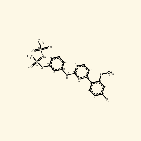 COc1cc(F)ccc1-c1ncnc(Nc2cccc(CS(C)(=O)=NS(C)(=O)=O)c2)n1